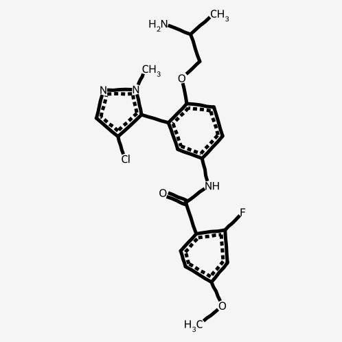 COc1ccc(C(=O)Nc2ccc(OCC(C)N)c(-c3c(Cl)cnn3C)c2)c(F)c1